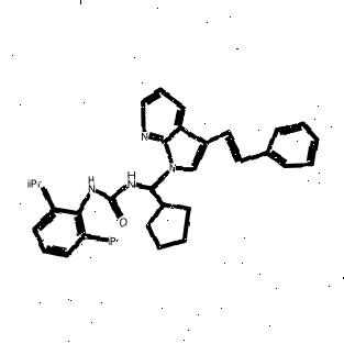 CC(C)c1cccc(C(C)C)c1NC(=O)NC(C1CCCC1)n1cc(C=Cc2ccccc2)c2cccnc21